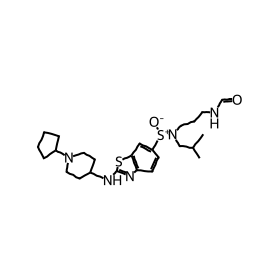 CC(C)CN(CCCNC=O)[S+]([O-])c1ccc2nc(NC3CCN(C4CCCC4)CC3)sc2c1